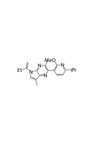 C=C(CC)n1cc(C)c2nc(-c3ccc(C(C)C)nc3OC)c(C)nc21